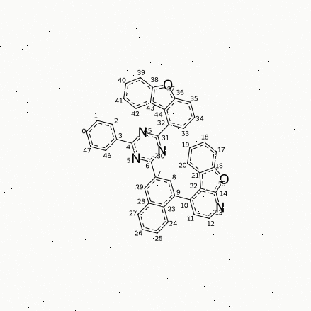 c1ccc(-c2nc(-c3cc(-c4ccnc5oc6ccccc6c45)c4ccccc4c3)nc(-c3cccc4oc5ccccc5c34)n2)cc1